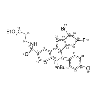 CCCC[C@H](c1ccc(C(=O)NCCC(=O)OCC)cc1)C(c1ccc(Cl)cc1)c1csc2c(Br)cc(F)cc12